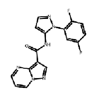 O=C(Nc1ccnn1-c1cc(F)ccc1F)c1cnn2cccnc12